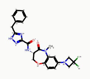 CN1C(=O)[C@@H](NC(=O)c2n[nH]c(Cc3ccccc3)n2)COc2ccc(N3CC(F)(F)C3)cc21